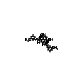 Cc1cccc(CCNC(=O)c2ccc(C(=O)NCCc3cccc(C)c3)c3c(C(=O)O)ccc(C(=O)O)c23)c1